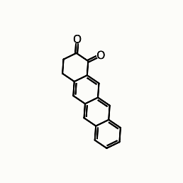 O=C1CCc2cc3cc4ccccc4cc3cc2C1=O